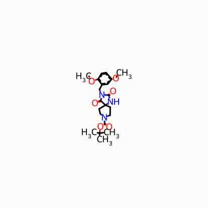 COc1ccc(OC)c(CN2C(=O)NC3(CCN(C(=O)OC(C)(C)C)CC3)C2=O)c1